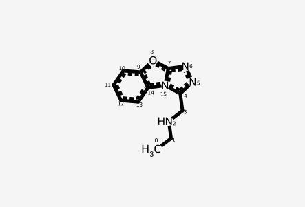 CCNCc1nnc2oc3ccccc3n12